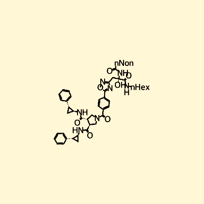 CCCCCCCCCC(=O)N[C@](O)(Cc1noc(-c2ccc(C(=O)N3C[C@@H](C(=O)N[C@H]4C[C@@H]4c4ccccc4)[C@H](C(=O)N[C@H]4C[C@@H]4c4ccccc4)C3)cc2)n1)C(=O)NCCCCCC